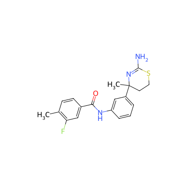 Cc1ccc(C(=O)Nc2cccc(C3(C)CCSC(N)=N3)c2)cc1F